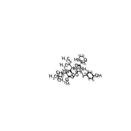 CCC(C)C(NC(=O)C(Cc1ccc(O)cc1)NC(=O)[C@H]1COCCN1)C(=O)NC(CCC(C)(C)C)C(=O)O